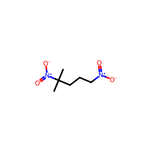 CC(C)(CCC[N+](=O)[O-])[N+](=O)[O-]